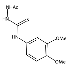 COc1ccc(NC(=S)NNC(C)=O)cc1OC